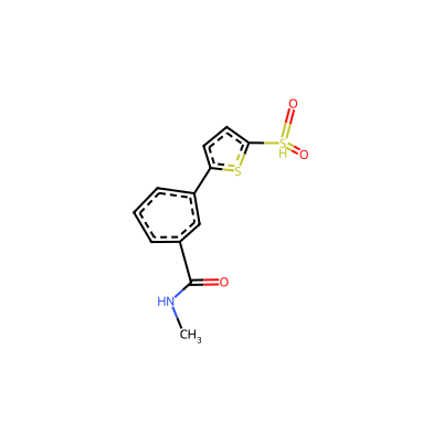 CNC(=O)c1cccc(-c2ccc([SH](=O)=O)s2)c1